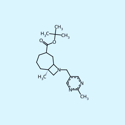 Cc1ncc(CN2C[C@@]3(C)CCCC(C(=O)OC(C)(C)C)CC23)cn1